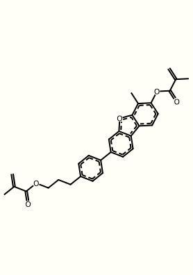 C=C(C)C(=O)OCCCc1ccc(-c2ccc3c(c2)oc2c(C)c(OC(=O)C(=C)C)ccc23)cc1